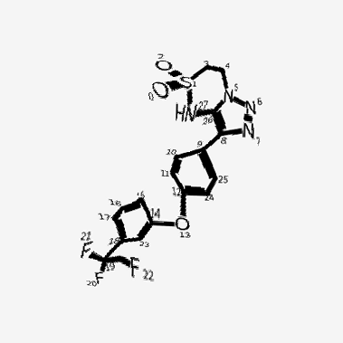 O=S1(=O)CCn2nnc(-c3ccc(Oc4cccc(C(F)(F)F)c4)cc3)c2N1